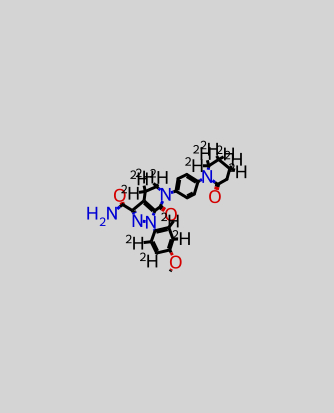 [2H]c1c([2H])c(-n2nc(C(N)=O)c3c2C(=O)N(c2ccc(N4C(=O)CC([2H])([2H])C([2H])([2H])C4([2H])[2H])cc2)C([2H])([2H])C3([2H])[2H])c([2H])c([2H])c1OC